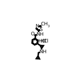 Cc1ncc(NC(=O)c2cccc(C3CC3NCC3CC3)c2)s1.Cl.Cl